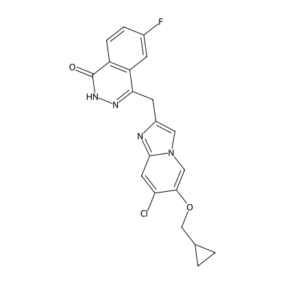 O=c1[nH]nc(Cc2cn3cc(OCC4CC4)c(Cl)cc3n2)c2cc(F)ccc12